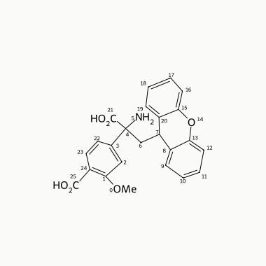 COc1cc(C(N)(CC2c3ccccc3Oc3ccccc32)C(=O)O)ccc1C(=O)O